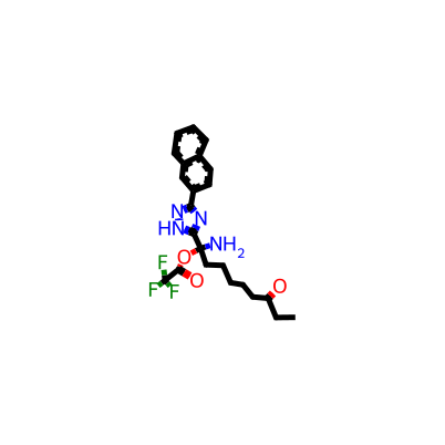 CCC(=O)CCCCCC(N)(OC(=O)C(F)(F)F)c1nc(-c2ccc3ccccc3c2)n[nH]1